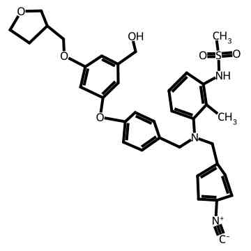 [C-]#[N+]c1ccc(CN(Cc2ccc(Oc3cc(CO)cc(OCC4CCOC4)c3)cc2)c2cccc(NS(C)(=O)=O)c2C)cc1